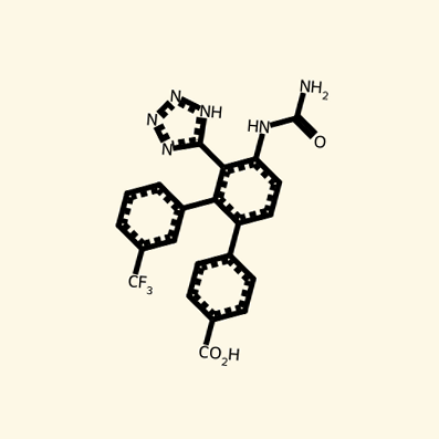 NC(=O)Nc1ccc(-c2ccc(C(=O)O)cc2)c(-c2cccc(C(F)(F)F)c2)c1-c1nnn[nH]1